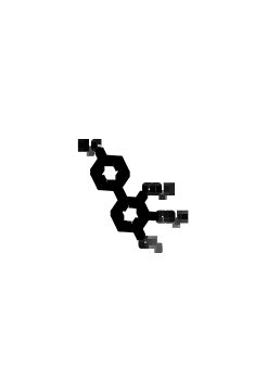 Cc1ccc(-c2ccc(C)c(C(=O)O)c2C(=O)O)cc1